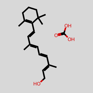 CC(C=CC1=C(C)CCCC1(C)C)=CC=CC(C)=CCO.O=C(O)O